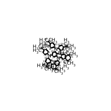 CC(C)(C)c1ccc(N(c2ccc(C(C)(C)C)cc2)c2cc3c4c(c2)N(c2ccc5c(c2)C(C)(C)CCC5(C)C)c2cc5c(cc2B4c2cc(C(C)(C)C)ccc2N3c2ccc(C(C)(C)C)cc2)C(C)(C)CCC5(C)C)cc1